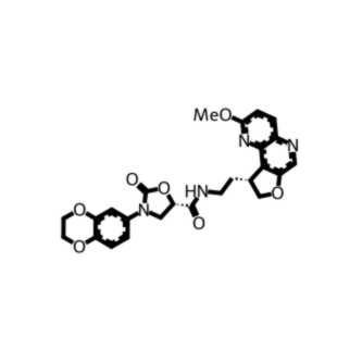 COc1ccc2ncc3c(c2n1)[C@@H](CCNC(=O)[C@@H]1CN(c2ccc4c(c2)OCCO4)C(=O)O1)CO3